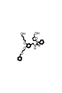 OCCCCOc1cc(CNc2nc3ccccc3n2[C@H]2CC[C@@H](CO)O2)ccc1OCCOCc1ccccc1